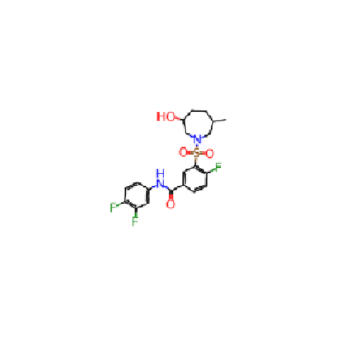 CC1CCC(O)CN(S(=O)(=O)c2cc(C(=O)Nc3ccc(F)c(F)c3)ccc2F)C1